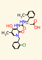 Cc1ccccc1[C@H](CC(=O)O)NC(=O)Nc1c(O)c(C)cn(Cc2ccccc2Cl)c1=O